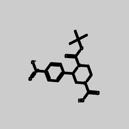 CC(C)(C)OC(=O)N1CCN(C(=O)O)CC1c1ccc([N+](=O)[O-])cc1